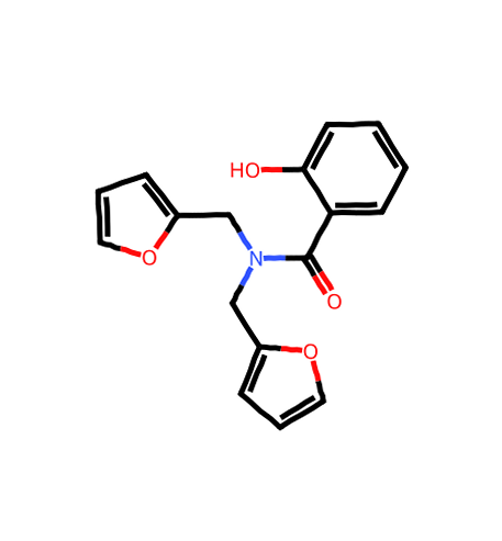 O=C(c1ccccc1O)N(Cc1ccco1)Cc1ccco1